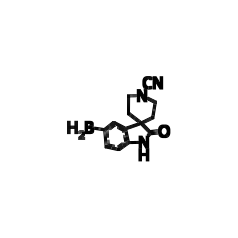 Bc1ccc2c(c1)C1(CCN(C#N)CC1)C(=O)N2